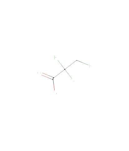 [O]C(=O)C(F)(F)CF